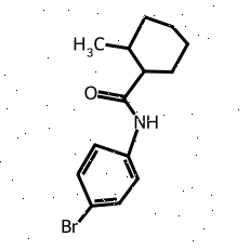 CC1CCCCC1C(=O)Nc1ccc(Br)cc1